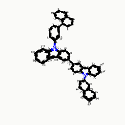 c1cc(-c2cccc3ccccc23)cc(-n2c3ccccc3c3cc(-c4ccc5c(c4)c4ccccc4n5-c4ccc5ccccc5c4)ccc32)c1